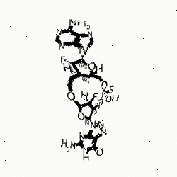 Nc1nc2c(nnn2[C@@H]2OC3OCC[C@H]4[C@H](F)[C@H](n5cnc6c(N)ncnc65)O[C@@H]4COP(O)(=S)O[C@@H]2[C@@H]3F)c(=O)[nH]1